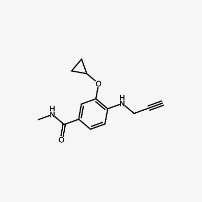 C#CCNc1ccc(C(=O)NC)cc1OC1CC1